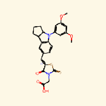 COc1cc(OC)cc(N2c3ccc(/C=C4\SC(=S)N(CC(=O)O)C4=O)cc3C3CCCC32)c1